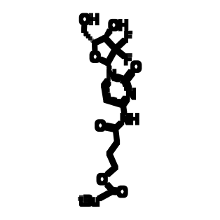 CC(C)(C)C(=O)OCCCC(=O)Nc1ccn([C@@H]2O[C@H](CO)[C@@H](O)C2(F)F)c(=O)n1